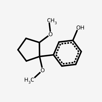 COC1CCCC1(OC)c1cccc(O)c1